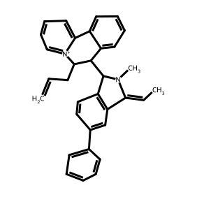 C=CCC1C(C2c3ccc(-c4ccccc4)cc3/C(=C/C)N2C)c2ccccc2-c2cccc[n+]21